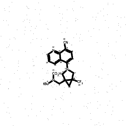 CC(C)(C)N(CC12CN(c3ccc(C#N)c4ncccc34)CC1(C(F)(F)F)C2)C(=O)O